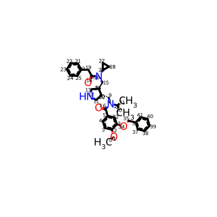 COc1ccc(C(=O)N(C[C@@H]2CNC[C@H]2CN(C(=O)Cc2ccccc2)C2CC2)C(C)C)cc1OCc1ccccc1